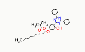 C=C(C)C(=O)OC(CCCCCCCCCC)Oc1ccc(-c2nc(-c3ccccc3)nc(-c3ccccc3)n2)c(O)c1